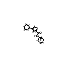 O=C(NC1CN2CCC1CC2)c1cc(-c2ccccn2)cs1